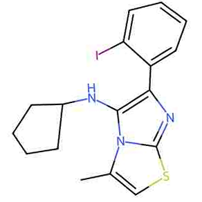 Cc1csc2nc(-c3ccccc3I)c(NC3CCCC3)n12